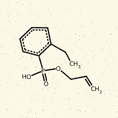 C=CCOP(=O)(O)c1ccccc1CC